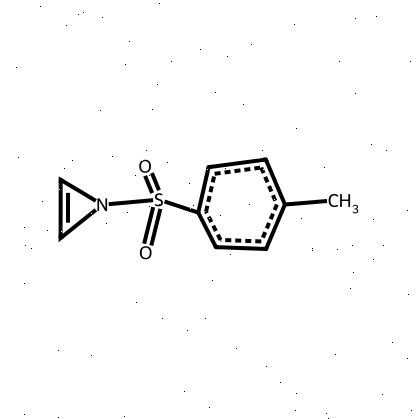 Cc1ccc(S(=O)(=O)N2C=C2)cc1